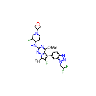 [2H]c1c(F)c(-c2ccc3nnn(CC(F)F)c3c2)c2c(OC)nc(N[C@H]3CCN(C4COC4)C[C@@H]3F)nn12